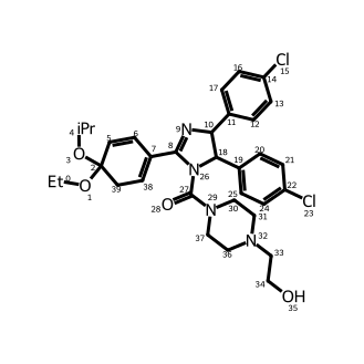 CCOC1(OC(C)C)C=CC(C2=NC(c3ccc(Cl)cc3)C(c3ccc(Cl)cc3)N2C(=O)N2CCN(CCO)CC2)=CC1